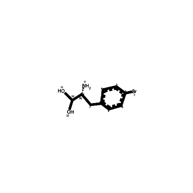 N[C@H](Cc1ccc(Br)cc1)C(O)O